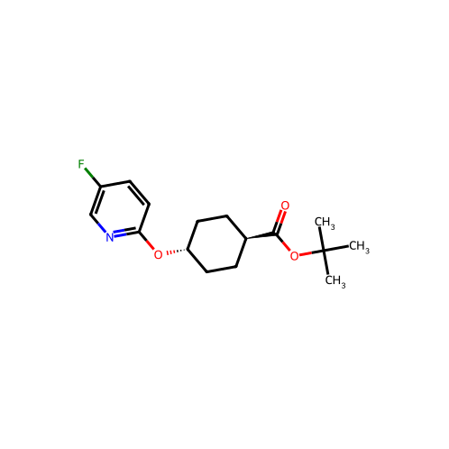 CC(C)(C)OC(=O)[C@H]1CC[C@H](Oc2ccc(F)cn2)CC1